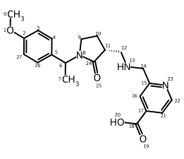 COc1ccc(C(C)N2CC[C@H](CNCc3cc(C(=O)O)ccn3)C2=O)cc1